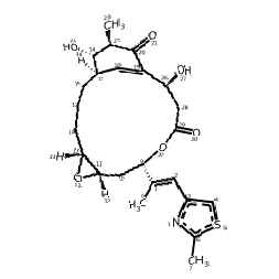 C/C(=C\c1csc(C)n1)[C@@H]1C[C@@H]2O[C@@H]2CCC[C@@H]2C=C(C(=O)[C@H](C)[C@H]2O)[C@@H](O)CC(=O)O1